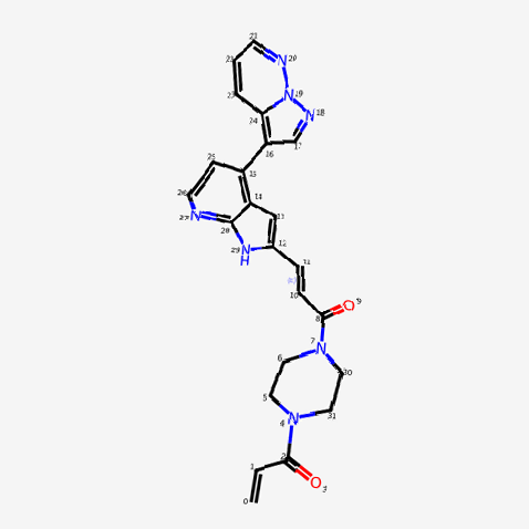 C=CC(=O)N1CCN(C(=O)/C=C/c2cc3c(-c4cnn5ncccc45)ccnc3[nH]2)CC1